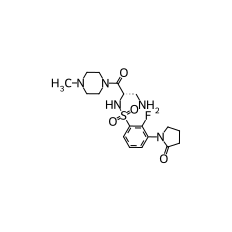 CN1CCN(C(=O)[C@H](CN)NS(=O)(=O)c2cccc(N3CCCC3=O)c2F)CC1